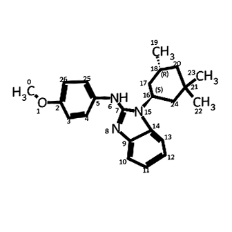 COc1ccc(Nc2nc3ccccc3n2[C@H]2C[C@H](C)CC(C)(C)C2)cc1